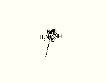 CCCCCCCCCCCCCCCc1c(N)cc(N)c(OC)c1C1C(C(=O)OC(C)C)=C(C)NC(C)=C1C(=O)OC(C)C